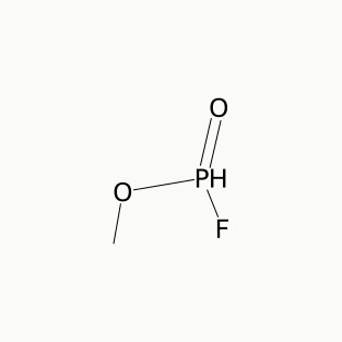 CO[PH](=O)F